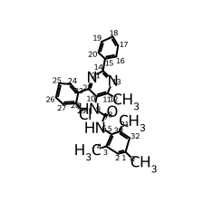 Cc1cc(C)c(NC(=O)Nc2c(C)nc(-c3ccccc3)nc2-c2ccccc2Cl)c(C)c1